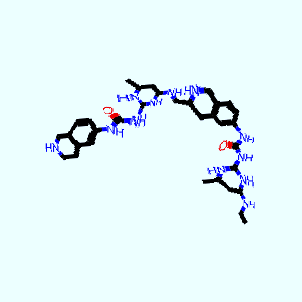 CCNC1CC(C)NC(NC(=O)Nc2ccc3c(c2)CC(CNC2CC(C)NC(NC(=O)Nc4ccc5c(c4)CCNC5)N2)NC3)N1